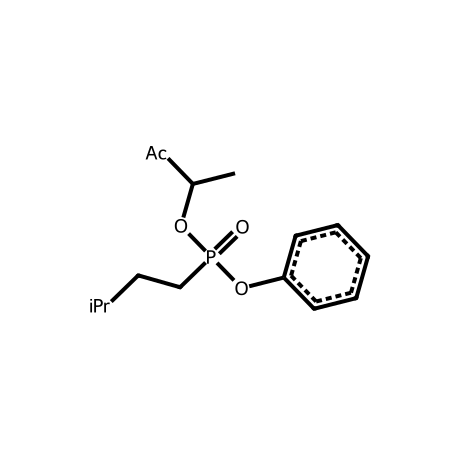 CC(=O)C(C)OP(=O)(CCC(C)C)Oc1ccccc1